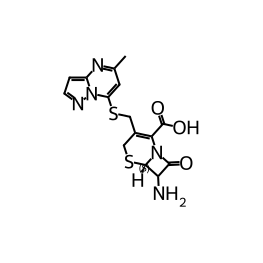 Cc1cc(SCC2=C(C(=O)O)N3C(=O)C(N)[C@@H]3SC2)n2nccc2n1